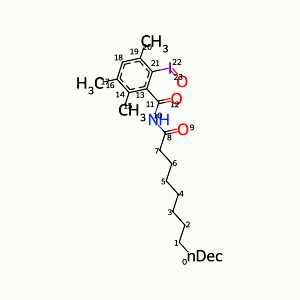 CCCCCCCCCCCCCCCCCC(=O)NC(=O)c1c(C)c(C)cc(C)c1I=O